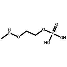 CBOCCOP(=O)(O)O